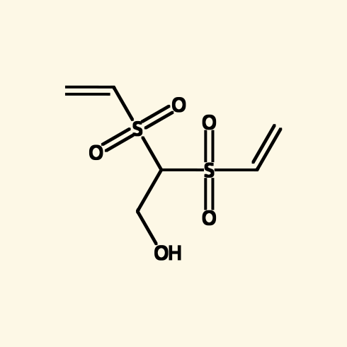 C=CS(=O)(=O)C(CO)S(=O)(=O)C=C